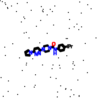 CC(C)c1ccc(NC(=O)N2CCN(c3ccc(-n4cccc4)nn3)CC2)cc1